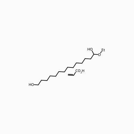 C=CC(=O)O.CCOC(O)CCCCCCCCCCCCCO